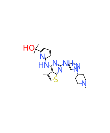 Cc1csc2nc(Nc3cnn(C4CCN(C)CC4)c3)nc(Nc3cccc(C(C)(C)O)n3)c12